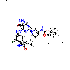 CC(C)(C)OC(=O)N[C@H]1CCCN(c2ncc(C(N)=O)c(Nc3cc(Br)c4c(c3)C(C)(C)C(=O)N4)n2)C1